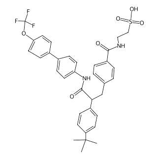 CC(C)(C)c1ccc(C(Cc2ccc(C(=O)NCCS(=O)(=O)O)cc2)C(=O)Nc2ccc(-c3ccc(OC(F)(F)F)cc3)cc2)cc1